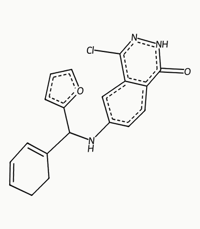 O=c1[nH]nc(Cl)c2cc(NC(C3=CC=CCC3)c3ccco3)ccc12